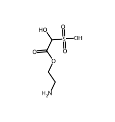 NCCOC(=O)C(O)S(=O)(=O)O